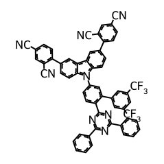 N#Cc1ccc(-c2ccc3c(c2)c2cc(-c4ccc(C#N)cc4C#N)ccc2n3-c2ccc(-c3nc(-c4ccccc4)nc(-c4ccccc4)n3)c(-c3cc(C(F)(F)F)cc(C(F)(F)F)c3)c2)c(C#N)c1